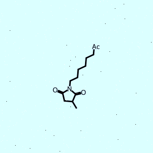 CC(=O)CCCCCCN1C(=O)CC(C)C1=O